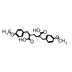 COc1ccc(C[C@@H](CC[C@H](Cc2ccc(OC)cc2)C(=O)O)C(=O)O)cc1